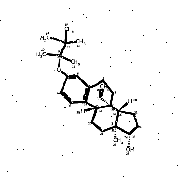 C=C[C@@]12CCc3cc(O[Si](C)(C)C(C)(C)C)ccc3[C@H]1CC[C@@]1(C)[C@H]2CC[C@@H]1O